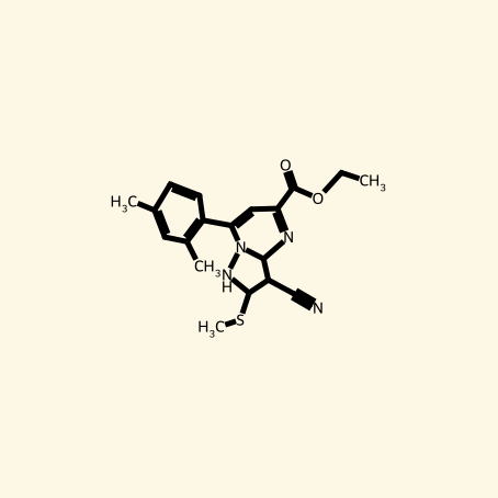 CCOC(=O)C1=NC2C(C#N)C(SC)NN2C(c2ccc(C)cc2C)=C1